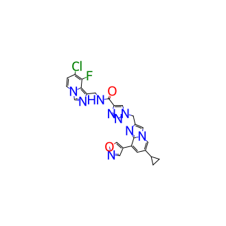 O=C(NCc1ncn2ccc(Cl)c(F)c12)c1cn(Cc2cn3cc(C4CC4)cc(-c4cnoc4)c3n2)nn1